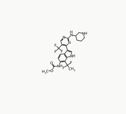 COC(=O)Nc1ccc2c(-c3nc(NC4CCCNC4)ncc3C(F)(F)F)c[nH]c2c1C(C)(F)F